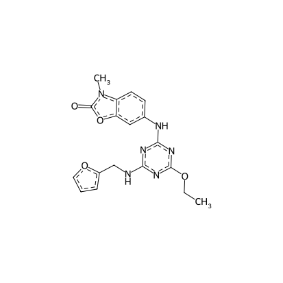 CCOc1nc(NCc2ccco2)nc(Nc2ccc3c(c2)oc(=O)n3C)n1